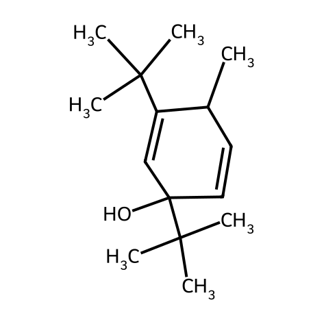 CC1C=CC(O)(C(C)(C)C)C=C1C(C)(C)C